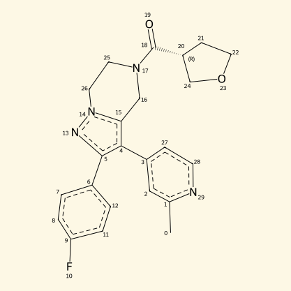 Cc1cc(-c2c(-c3ccc(F)cc3)nn3c2CN(C(=O)[C@@H]2CCOC2)CC3)ccn1